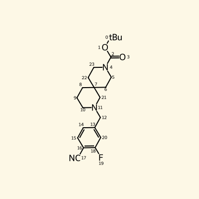 CC(C)(C)OC(=O)N1CCC2(CCCN(Cc3ccc(C#N)c(F)c3)C2)CC1